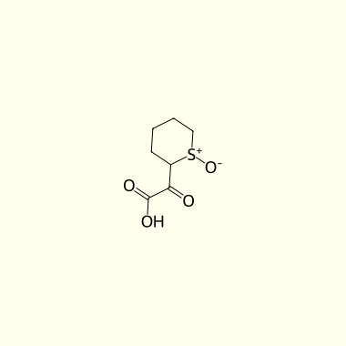 O=C(O)C(=O)C1CCCC[S+]1[O-]